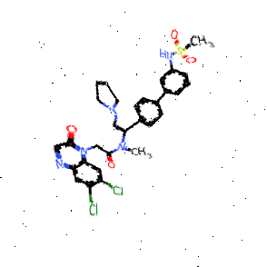 CN(C(=O)Cn1c(=O)cnc2cc(Cl)c(Cl)cc21)C(CN1CCCC1)c1ccc(-c2cccc(NS(C)(=O)=O)c2)cc1